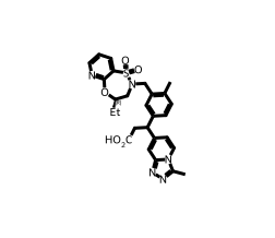 CC[C@@H]1CN(Cc2cc(C(CC(=O)O)c3ccn4c(C)nnc4c3)ccc2C)S(=O)(=O)c2cccnc2O1